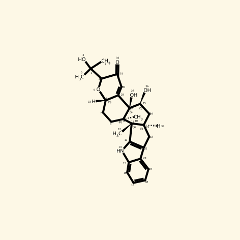 CC(C)(O)C1O[C@H]2CC[C@]3(C)[C@@]4(C)c5[nH]c6ccccc6c5C[C@@H]4C[C@H](O)[C@@]3(O)C2=CC1=O